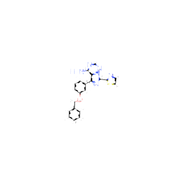 Nc1ncnn2c(-c3nccs3)nc(-c3cccc(OCc4ccccc4)c3)c12